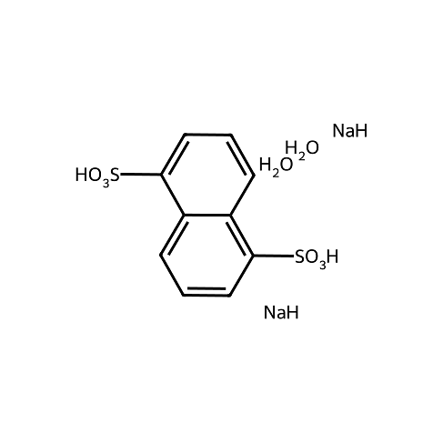 O.O.O=S(=O)(O)c1cccc2c(S(=O)(=O)O)cccc12.[NaH].[NaH]